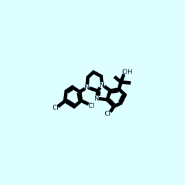 CC(C)(O)c1ccc(Cl)c2nc3n(c12)CCCN3c1ccc(Cl)cc1Cl